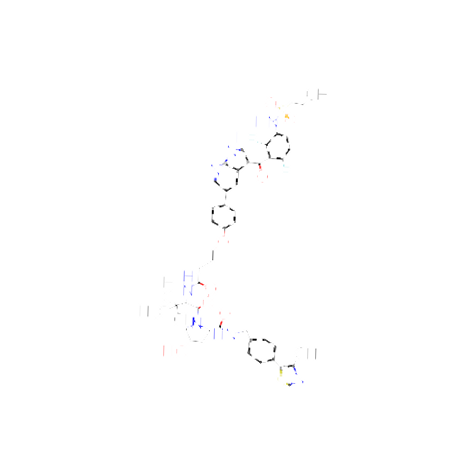 CCCS(=O)(=O)Nc1ccc(F)c(C(=O)c2c[nH]c3ncc(-c4ccc(OCCCC(=O)N[C@H](C(=O)N5C[C@@H](O)C[C@H]5C(=O)NCc5ccc(-c6scnc6C)cc5)C(C)(C)C)cc4)cc23)c1F